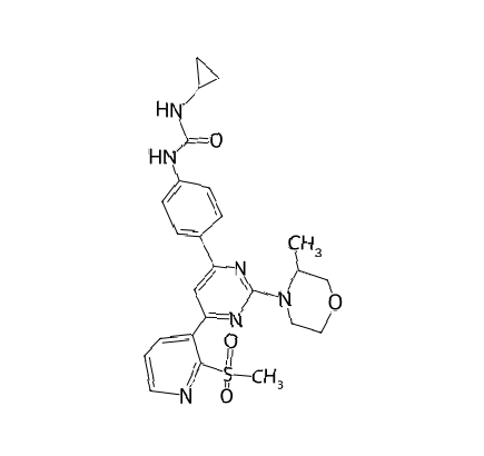 CC1COCCN1c1nc(-c2ccc(NC(=O)NC3CC3)cc2)cc(-c2cccnc2S(C)(=O)=O)n1